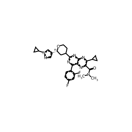 CN(C)C(=O)c1nc2c(-c3ccc(F)cc3F)nc(C3CCO[C@@H](c4cnn(C5CC5)c4)C3)nc2nc1C1CC1